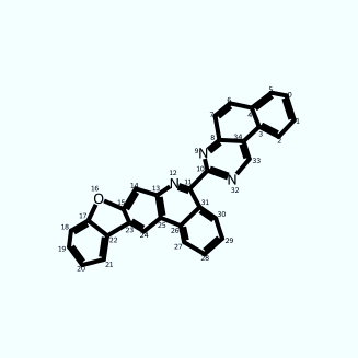 c1ccc2c(c1)ccc1nc(-c3nc4cc5oc6ccccc6c5cc4c4ccccc34)ncc12